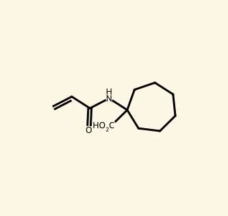 C=CC(=O)NC1(C(=O)O)CCCCCC1